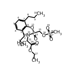 CCCc1cccc(CCC)c1OP(=O)(COS(C)(=O)=O)N[C@@H](C)C(=O)OCC